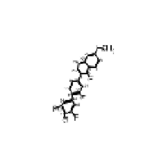 CCc1ccc2c(F)c(-c3ccc(-c4cc(F)c(Cl)c(F)c4)c(F)c3)ccc2c1